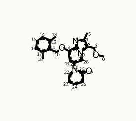 COCc1c(C)nc2c(OCc3c(C)cccc3C)cc(-n3ccccc3=O)cn12